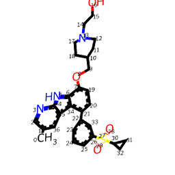 Cc1cnc2[nH]c3c(OCC4CCN(CCO)CC4)ccc(-c4cccc(S(=O)(=O)C5CC5)c4)c3c2c1